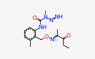 CCC(=O)/C(C)=N/OCc1c(C)cccc1NC(=O)N(C)N=N